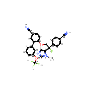 Cn1cncc1C(F)(COc1ccc(C#N)cc1-c1cccc(OC(F)(F)F)c1)c1ccc(C#N)cc1